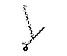 CCCCCCCCCC(COCCOCCOCCOCCOCCOCCO)OCCOCC(O)c1ccccc1